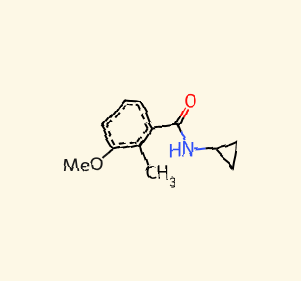 COc1cccc(C(=O)NC2CC2)c1C